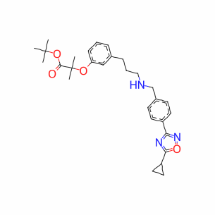 CC(C)(C)OC(=O)C(C)(C)Oc1cccc(CCCNCc2ccc(-c3noc(C4CC4)n3)cc2)c1